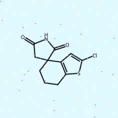 O=C1CC2(CCCc3sc(Cl)cc32)C(=O)N1